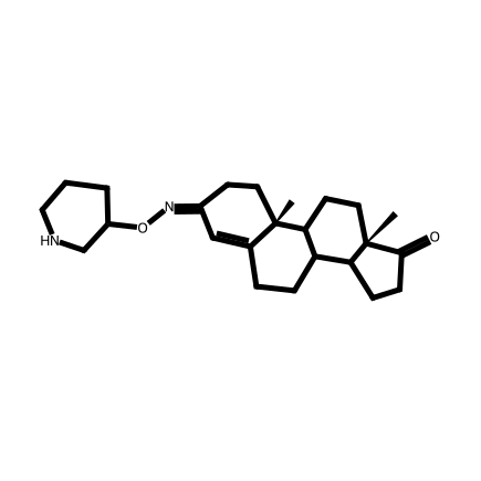 C[C@]12CC/C(=N/OC3CCCNC3)C=C1CCC1C2CC[C@]2(C)C(=O)CCC12